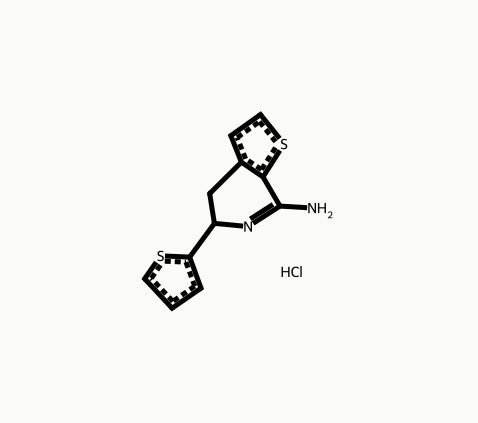 Cl.NC1=NC(c2cccs2)Cc2ccsc21